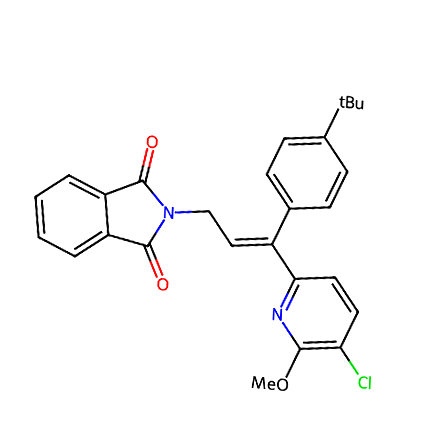 COc1nc(C(=CCN2C(=O)c3ccccc3C2=O)c2ccc(C(C)(C)C)cc2)ccc1Cl